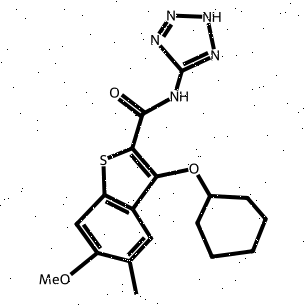 COc1cc2sc(C(=O)Nc3nn[nH]n3)c(OC3CCCCC3)c2cc1C